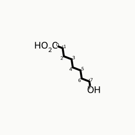 O=C(O)[CH]CCCCC[CH]O